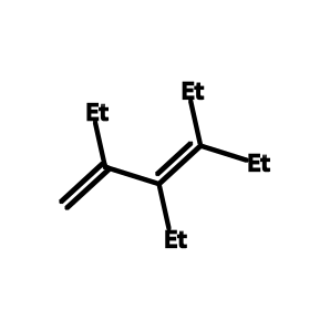 C=C(CC)C(CC)=C(CC)CC